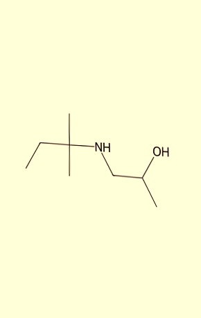 CCC(C)(C)NCC(C)O